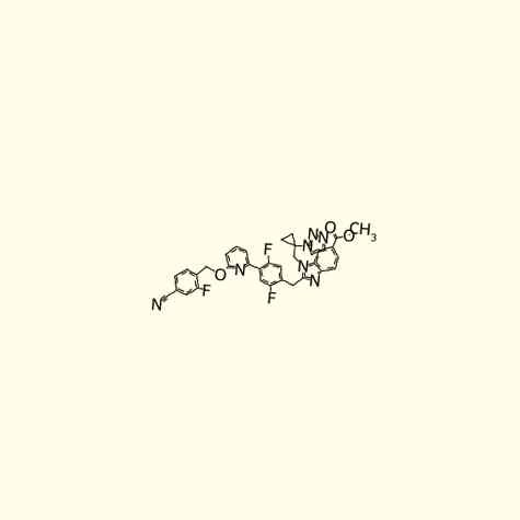 COC(=O)c1ccc2nc(Cc3cc(F)c(-c4cccc(OCc5ccc(C#N)cc5F)n4)cc3F)n(CC3(n4ccnn4)CC3)c2c1